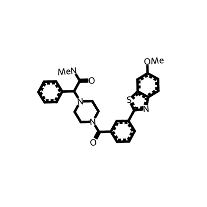 CNC(=O)C(c1ccccc1)N1CCN(C(=O)c2cccc(-c3nc4ccc(OC)cc4s3)c2)CC1